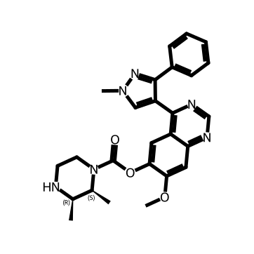 COc1cc2ncnc(-c3cn(C)nc3-c3ccccc3)c2cc1OC(=O)N1CCN[C@H](C)[C@@H]1C